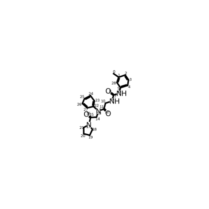 Cc1cccc(NC(=O)NCC(=O)N(CC(=O)N2CCCC2)c2ccccc2)c1